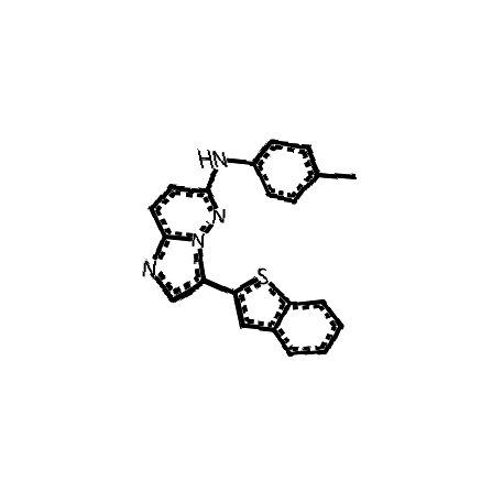 Cc1ccc(Nc2ccc3ncc(-c4cc5ccccc5s4)n3n2)cc1